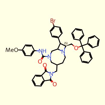 COc1ccc(NC(=O)N2CC(CN3C(=O)c4ccccc4C3=O)CCN3C(C2)C(c2ccc(Br)cc2)[C@H]3COC(c2ccccc2)(c2ccccc2)c2ccccc2)cc1